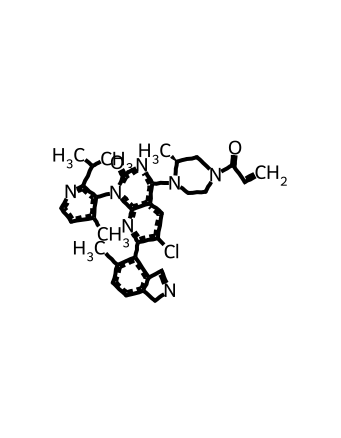 C=CC(=O)N1CCN(c2nc(=O)n(-c3c(C)ccnc3C(C)C)c3nc(-c4c(C)ccc5c4C=NC5)c(Cl)cc23)[C@@H](C)C1